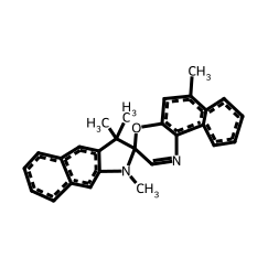 Cc1cc2c(c3ccccc13)N=CC1(O2)N(C)c2cc3ccccc3cc2C1(C)C